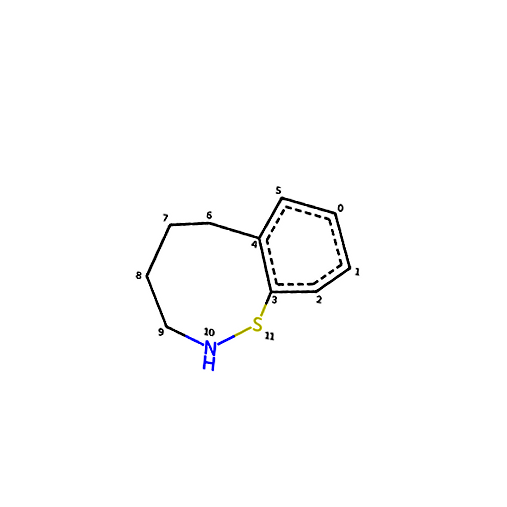 c1ccc2c(c1)CCCCNS2